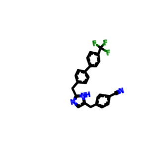 N#Cc1ccc(Cc2cnc(Cc3ccc(-c4ccc(C(F)(F)F)cc4)cc3)[nH]2)cc1